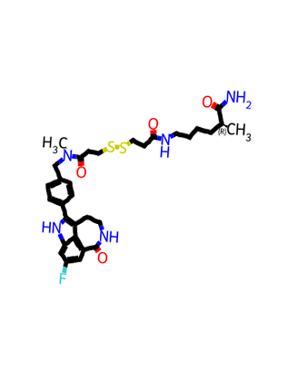 C[C@H](CCCCNC(=O)CCSSCCC(=O)N(C)Cc1ccc(-c2[nH]c3cc(F)cc4c3c2CCNC4=O)cc1)C(N)=O